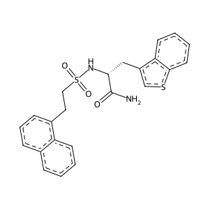 NC(=O)[C@@H](Cc1csc2ccccc12)NS(=O)(=O)CCc1cccc2ccccc12